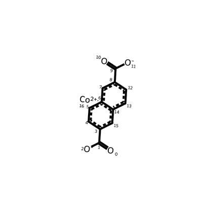 O=C([O-])c1ccc2cc(C(=O)[O-])ccc2c1.[Co+2]